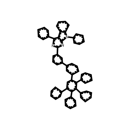 c1ccc(-c2cc(-c3cccc(-c4cccc(-c5nc(-c6ccccc6)c6c7ccccc7n(-c7ccccc7)c6n5)c4)c3)c(-c3ccccc3)c(-c3ccccc3)c2-c2ccccc2)cc1